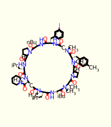 CCCC[C@@H]1NC(=O)[C@H](Cc2cccc(I)c2)NC(=O)CN(C)C(=O)[C@H](Cc2ccc(C)cc2)N(C)C(=O)[C@@H]2CCN2C(=O)[C@H](C)N(C)C(=O)[C@H]([C@@H](C)CC)NC(=O)[C@H](CC(C)C)N(C)C(=O)C[C@@H](C(=O)N2CCCCC2)N(C)C(=O)[C@H](CC(C)C)NC(=O)[C@H]2CCCN2C1=O